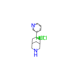 C1=C(c2cccnc2)CC2CNCC1C2.Cl.Cl